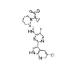 O=[SH](=O)C1(N2CCCC[C@H]2CNc2nc(-c3c[nH]c4ncc(Cl)cc34)ncc2F)CC1